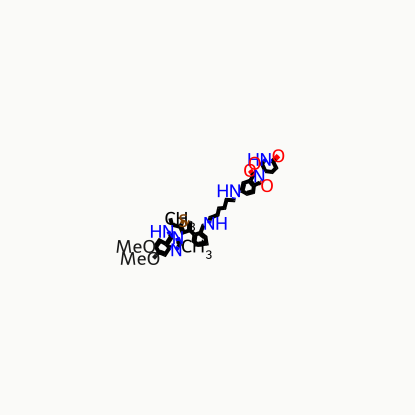 COc1cc2nc(C)nc(NC(C)c3cc(-c4ccccc4CNCCCCCCNc4ccc5c(c4)C(=O)N(C4CCC(=O)NC4=O)C5=O)cs3)c2cc1OC